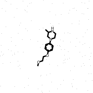 COCCOc1ccc(N2CCNC(C)C2)cc1